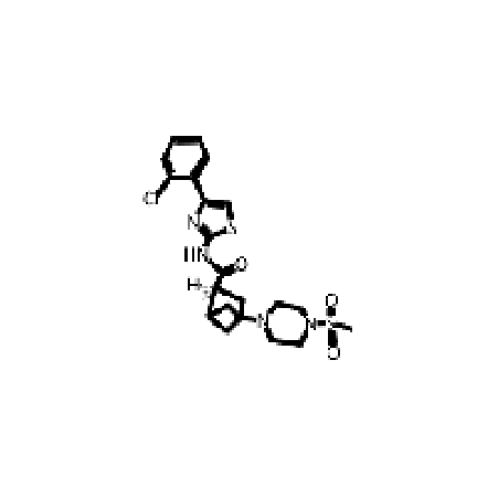 CS(=O)(=O)N1CCN(C23CC(C2)[C@@H](C(=O)Nc2nc(-c4ccccc4Cl)cs2)C3)CC1